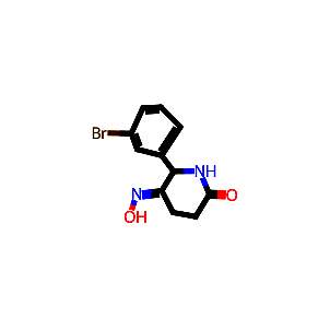 O=C1CCC(=NO)C(c2cccc(Br)c2)N1